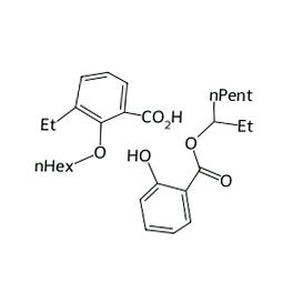 CCCCCC(CC)OC(=O)c1ccccc1O.CCCCCCOc1c(CC)cccc1C(=O)O